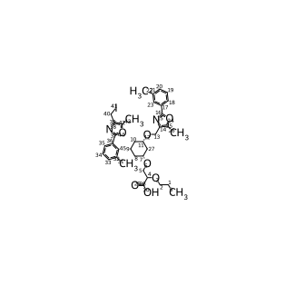 CCCOC(CO[C@@H]1CCC[C@H](OCc2nc(-c3cccc(C)c3)oc2C)C1)C(=O)O.Cc1cccc(-c2nc(CI)c(C)o2)c1